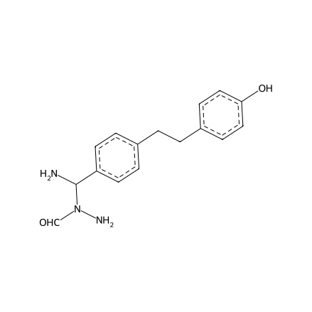 NC(c1ccc(CCc2ccc(O)cc2)cc1)N(N)C=O